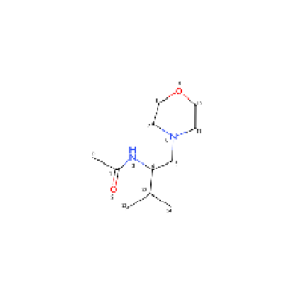 CC(=O)NC(CN1CCOCC1)C(C)C